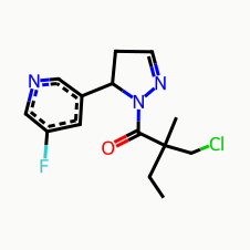 CCC(C)(CCl)C(=O)N1N=CCC1c1cncc(F)c1